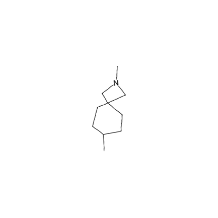 CC1CCC2(CC1)CN(C)C2